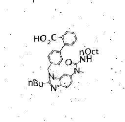 CCCCCCCCNC(=O)N(C)c1ccc2nc(CCCC)n(Cc3ccc(-c4ccccc4C(=O)O)cc3)c2c1